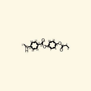 CCC(=O)Oc1ccc(OC(=O)c2ccc(NC)cc2)cc1